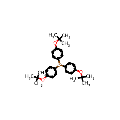 CC(C)(C)Oc1ccc([S](c2ccc(OC(C)(C)C)cc2)c2ccc(OC(C)(C)C)cc2)cc1